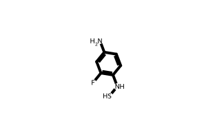 Nc1ccc(NS)c(F)c1